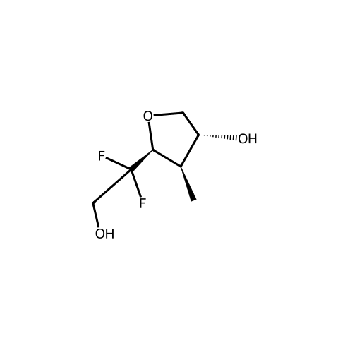 C[C@@H]1[C@@H](O)CO[C@@H]1C(F)(F)CO